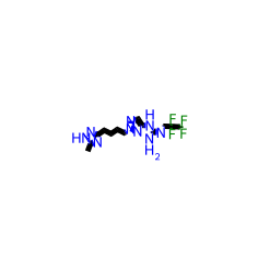 Cc1nc(CCCCn2ncc(N/C(N)=N\CC(F)(F)C(F)F)n2)n[nH]1